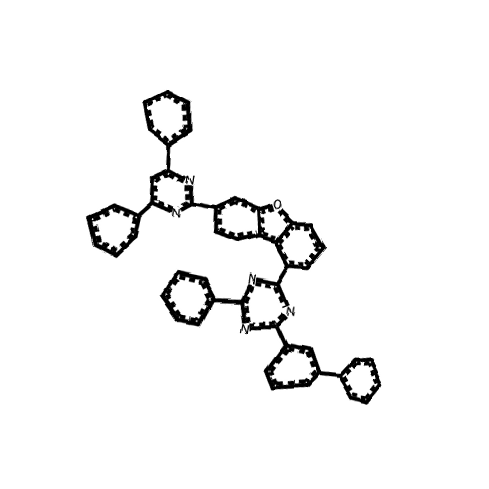 c1ccc(-c2cccc(-c3nc(-c4ccccc4)nc(-c4cccc5oc6cc(-c7nc(-c8ccccc8)cc(-c8ccccc8)n7)ccc6c45)n3)c2)cc1